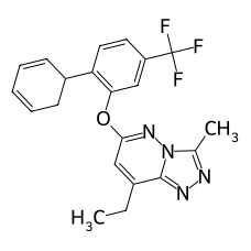 CCc1cc(Oc2cc(C(F)(F)F)ccc2C2C=CC=CC2)nn2c(C)nnc12